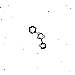 c1ccc([C@H]2COC(c3cccs3)=N2)cc1